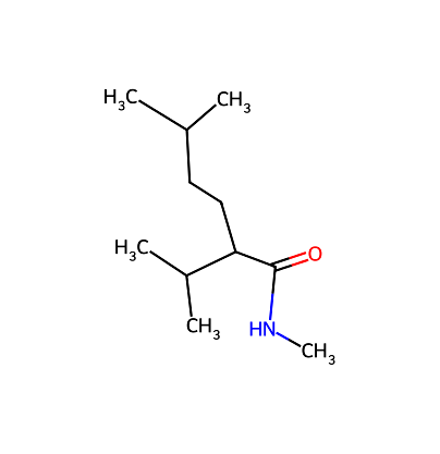 CNC(=O)C(CCC(C)C)C(C)C